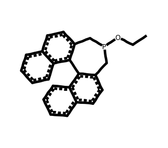 CCOP1Cc2ccc3ccccc3c2-c2c(ccc3ccccc23)C1